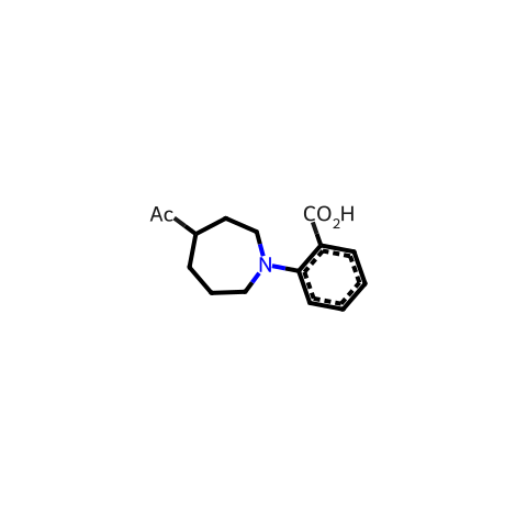 CC(=O)C1CCCN(c2ccccc2C(=O)O)CC1